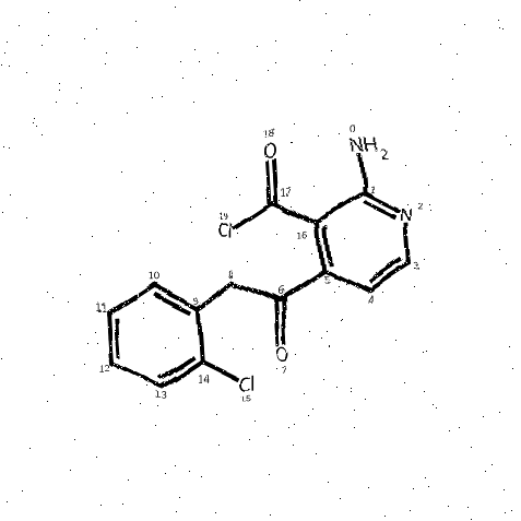 Nc1nccc(C(=O)Cc2ccccc2Cl)c1C(=O)Cl